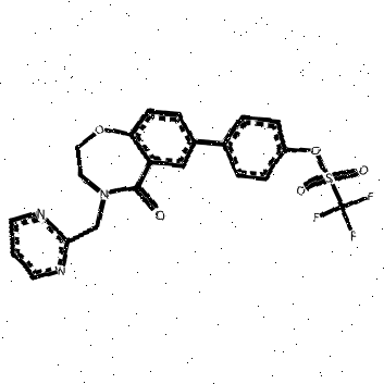 O=C1c2cc(-c3ccc(OS(=O)(=O)C(F)(F)F)cc3)ccc2OCCN1Cc1ncccn1